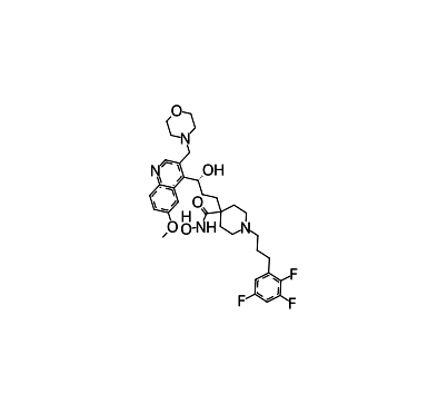 COc1ccc2ncc(CN3CCOCC3)c([C@H](O)CCC3(C(=O)NO)CCN(CCCc4cc(F)cc(F)c4F)CC3)c2c1